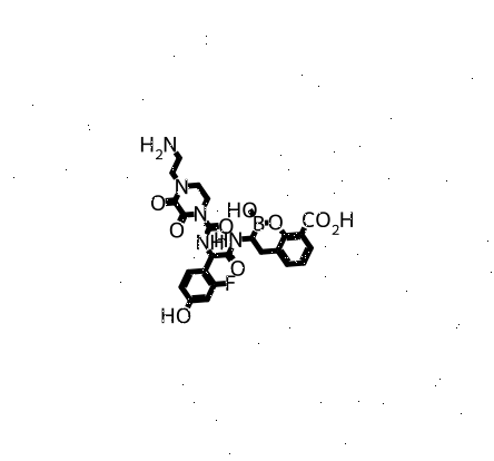 NCCN1CCN(C(=O)NC(C(=O)NC2Cc3cccc(C(=O)O)c3OB2O)c2ccc(O)cc2F)C(=O)C1=O